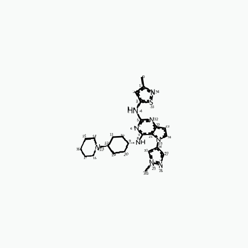 Cc1cc(Nc2nc(N[C@H]3CC[C@H](N4CCCCC4)CC3)c3c(ccn3-c3cnn(C)c3)n2)sn1